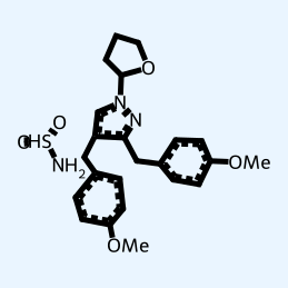 COc1ccc(Cc2cn(C3CCCO3)nc2Cc2ccc(OC)cc2)cc1.N[SH](=O)=O